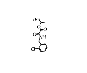 C[C@@H](OC(=O)C(=O)NCc1ccccc1Cl)C(C)(C)C